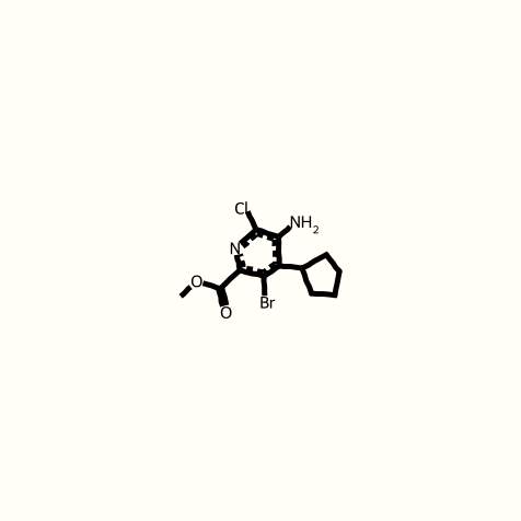 COC(=O)c1nc(Cl)c(N)c(C2CCCC2)c1Br